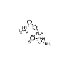 COc1ccc2c(c1)S[C@@H](NC(=O)C(C)(C)N)C(=O)N(Cc1ccc(-c3ccccc3CNC(N)=O)cc1)C2